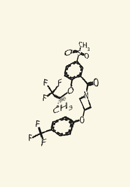 C[C@@H](Oc1ccc(S(C)(=O)=O)cc1C(=O)N1CC(Oc2ccc(C(F)(F)F)cc2)C1)C(F)(F)F